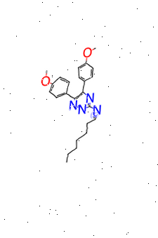 CCCCCC/C=N\c1nnc(-c2ccc(OC)cc2)c(-c2ccc(OC)cc2)n1